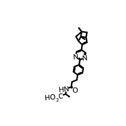 CC(NC(=O)CCc1ccc(-c2ncc(C3=CC4CC5(C)CC3C45C)cn2)cc1)C(=O)O